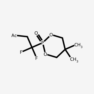 CC(=O)CC(F)(F)P1(=O)OCC(C)(C)CO1